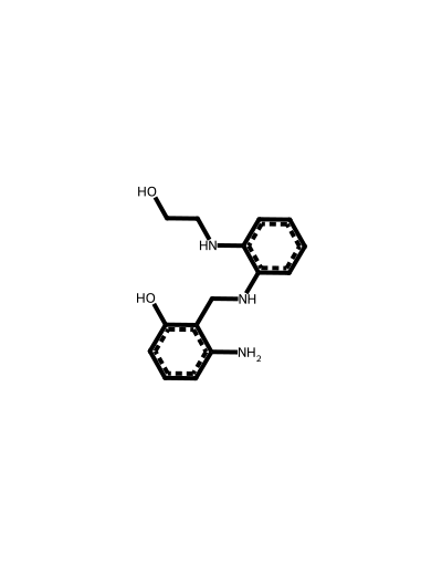 Nc1cccc(O)c1CNc1ccccc1NCCO